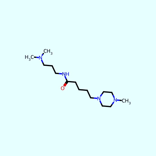 CN(C)CCCNC(=O)CCCCN1CCN(C)CC1